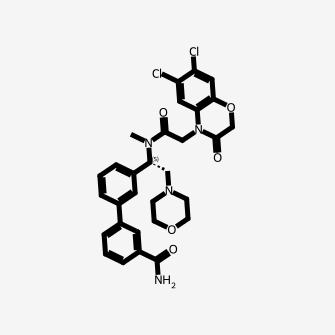 CN(C(=O)CN1C(=O)COc2cc(Cl)c(Cl)cc21)[C@H](CN1CCOCC1)c1cccc(-c2cccc(C(N)=O)c2)c1